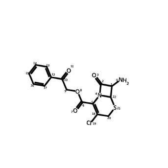 NC1C(=O)N2C(C(=O)OCC(=O)c3ccccc3)=C(Cl)CSC12